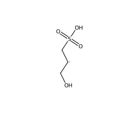 O=S(=O)(O)C[CH]CO